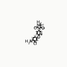 CC1(C)NC(=O)N(c2ccc(Oc3ccc(N)c(Cl)c3)nc2)C1=O